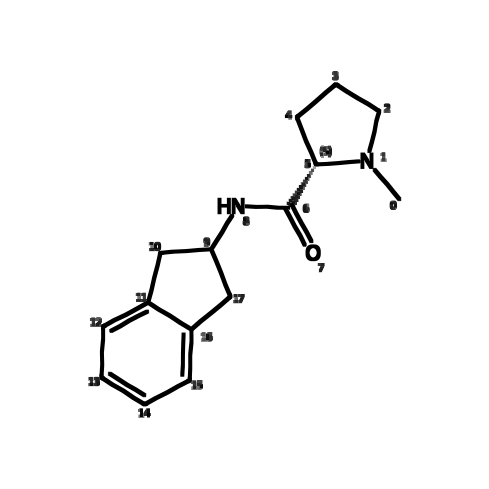 CN1CCC[C@H]1C(=O)NC1Cc2ccccc2C1